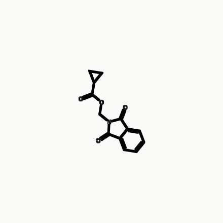 O=C(OCN1C(=O)c2ccccc2C1=O)C1CC1